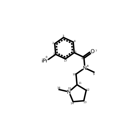 CC(C)c1cccc(C(=O)N(C)CC2CCCN2C)c1